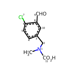 CN(Cc1ccc(Cl)c(C=O)c1)C(=O)O